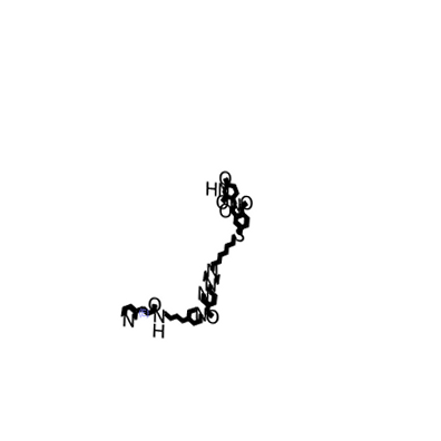 O=C(/C=C/c1cccnc1)NCCCCC1CCN(C(=O)c2ccc(N3CCN(CCCCCCCSc4ccc5c(c4)C(=O)N(C4CCC(=O)NC4=O)C5=O)CC3)nc2)CC1